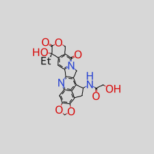 CC[C@@]1(O)C(=O)OCc2c1cc1n(c2=O)Cc2c-1nc1cc3c(c4c1c2C(NC(=O)CO)C4)OCO3